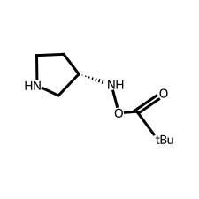 CC(C)(C)C(=O)ON[C@H]1CCNC1